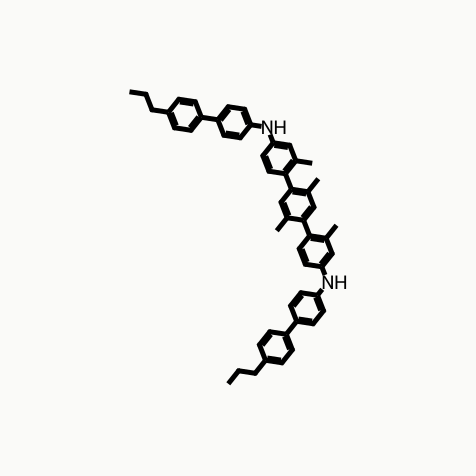 CCCc1ccc(-c2ccc(Nc3ccc(-c4cc(C)c(-c5ccc(Nc6ccc(-c7ccc(CCC)cc7)cc6)cc5C)cc4C)c(C)c3)cc2)cc1